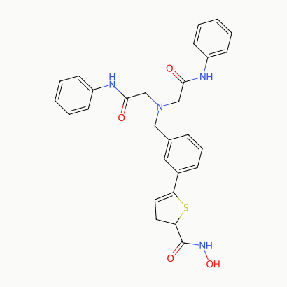 O=C(CN(CC(=O)Nc1ccccc1)Cc1cccc(C2=CCC(C(=O)NO)S2)c1)Nc1ccccc1